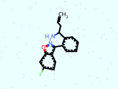 C=CCC(N)c1ccccc1-c1noc2cc(F)ccc12